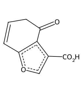 O=C(O)c1coc2c1C(=O)CC=C2